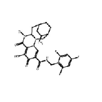 CCN1C(=O)c2c(O)c(=O)c(C(=O)NCc3c(F)cc(F)cc3F)cn2N2CC3CCC(CC3C)CC12